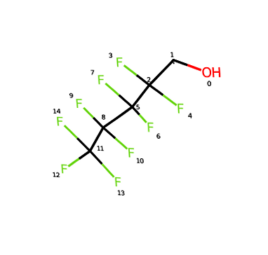 O[CH]C(F)(F)C(F)(F)C(F)(F)C(F)(F)F